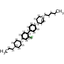 CCCCC[Si@H]1CC[C@H](c2ccc(-c3ccc([C@H]4CC[C@H](CCC)CC4)cc3F)cc2)CC1